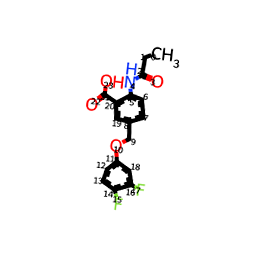 CCC(=O)Nc1ccc(COc2ccc(F)c(F)c2)cc1C(=O)O